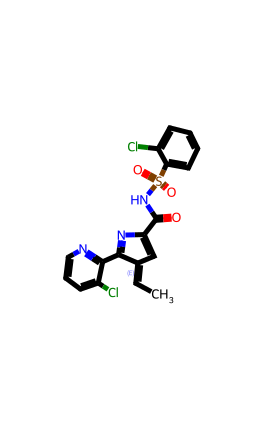 C/C=C1\C=C(C(=O)NS(=O)(=O)c2ccccc2Cl)N=C1c1ncccc1Cl